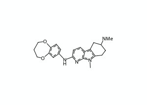 CNC1CCc2c(c3ccc(Nc4ccc5c(c4)OCCCO5)nc3n2C)C1